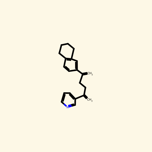 C=C(CCC(=C)c1ccc2c(c1)CCCC2)c1cccnc1